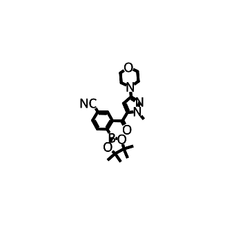 Cn1nc(N2CCOCC2)cc1C(=O)c1cc(C#N)ccc1B1OC(C)(C)C(C)(C)O1